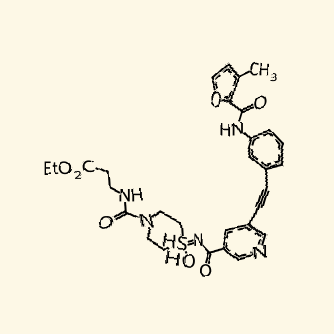 CCOC(=O)CCNC(=O)N1CC[SH](O)(=NC(=O)c2cncc(C#Cc3cccc(NC(=O)c4occc4C)c3)c2)CC1